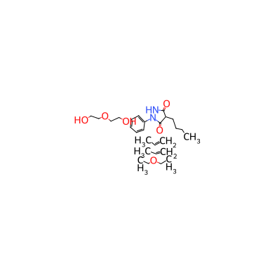 C=CC.C=CC.CCCCC1C(=O)NN(c2ccccc2)C1=O.CCOCC.OCCOCCO